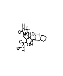 CC1(C)CC(CC(NC(=O)[C@H](CC2CCCCC2)NC(=O)O)C(O)C(=O)NC2CC2)C(=O)N1